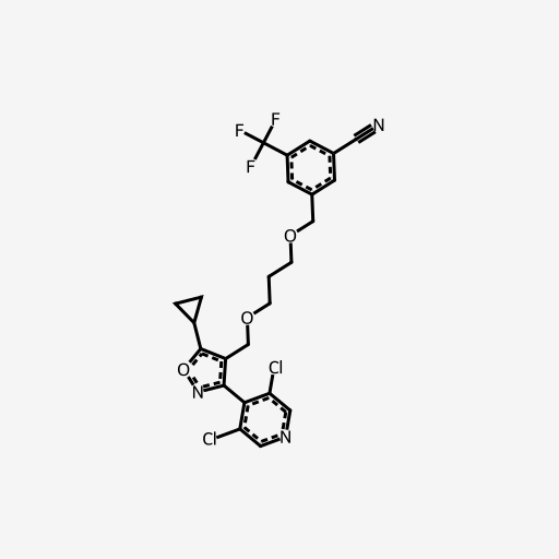 N#Cc1cc(COCCCOCc2c(-c3c(Cl)cncc3Cl)noc2C2CC2)cc(C(F)(F)F)c1